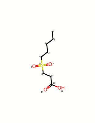 CCCCCS(=O)(=O)CCC(=O)O